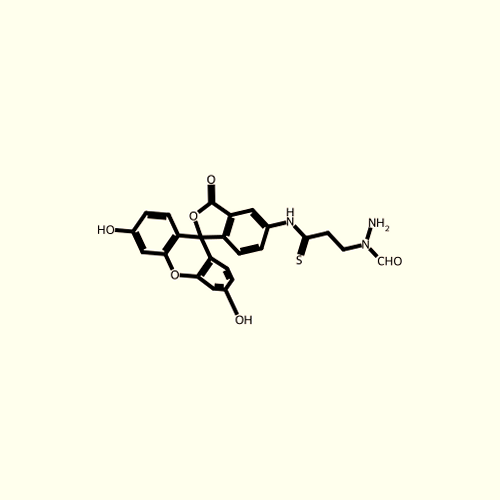 NN(C=O)CCC(=S)Nc1ccc2c(c1)C(=O)OC21c2ccc(O)cc2Oc2cc(O)ccc21